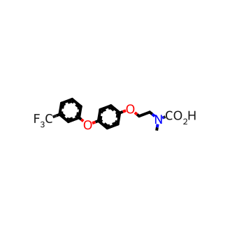 CN(CCOc1ccc(Oc2cccc(C(F)(F)F)c2)cc1)C(=O)O